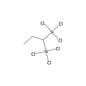 CCC([Si](Cl)(Cl)Cl)[Si](Cl)(Cl)Cl